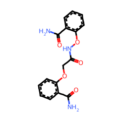 NC(=O)c1ccccc1OCC(=O)NOc1ccccc1C(N)=O